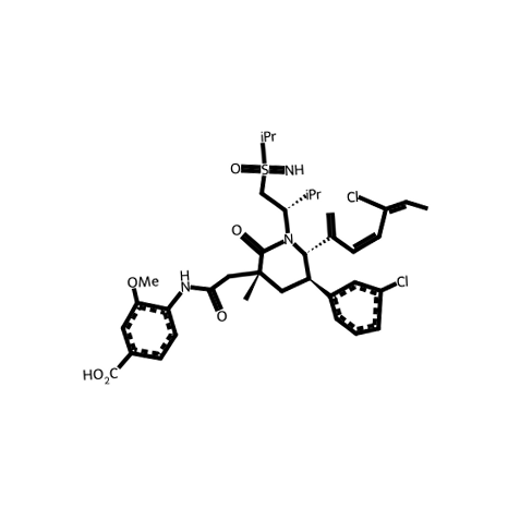 C=C(/C=C\C(Cl)=C/C)[C@@H]1[C@@H](c2cccc(Cl)c2)C[C@](C)(CC(=O)Nc2ccc(C(=O)O)cc2OC)C(=O)N1[C@H](CS(=N)(=O)C(C)C)C(C)C